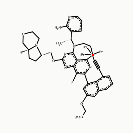 COCOc1cc(-c2nc3c4c(nc(OC[C@@H]5CC[C@H]6COCCN65)nc4c2F)N([C@H](C)c2cccnc2N)CCO3)c2c(C#C[Si](C(C)C)(C(C)C)C(C)C)cccc2c1